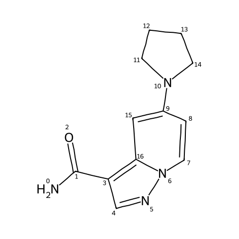 NC(=O)c1cnn2ccc(N3CCCC3)cc12